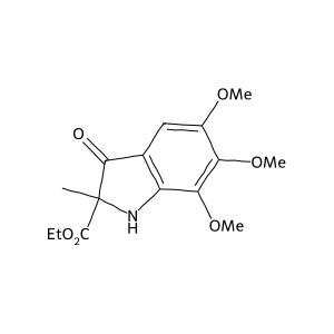 CCOC(=O)C1(C)Nc2c(cc(OC)c(OC)c2OC)C1=O